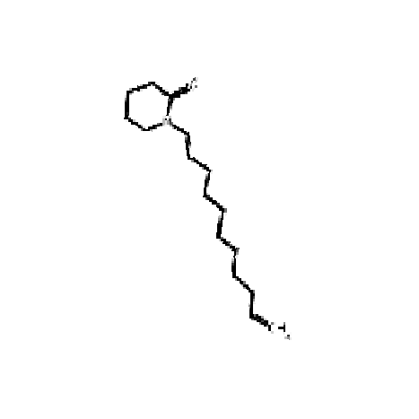 C=CCCCCCCCCCN1CCCCC1=O